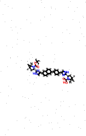 CC(C)(C)OC(=O)N1[C@H](c2nc(-c3ccc4cc(-c5ccc(-c6c[nH]c([C@@H]7C[C@@]8(C)C[C@H]8N7C(=O)O)n6)cc5)ccc4c3)c[nH]2)C[C@@]2(C)C[C@@H]12